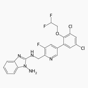 Nn1c(NCc2ncc(-c3cc(Cl)cc(Cl)c3OCC(F)F)cc2F)nc2ccccc21